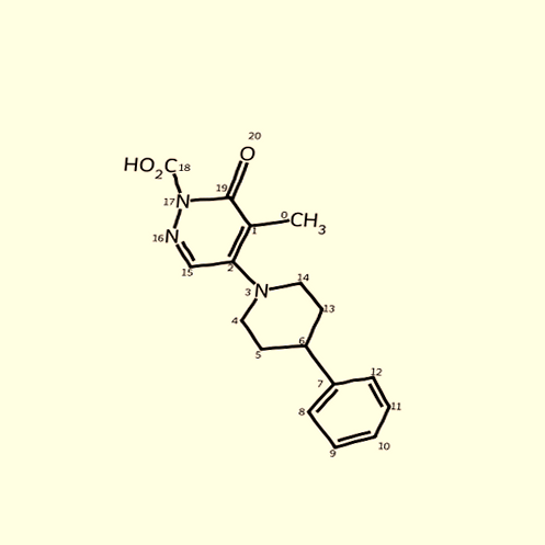 Cc1c(N2CCC(c3ccccc3)CC2)cnn(C(=O)O)c1=O